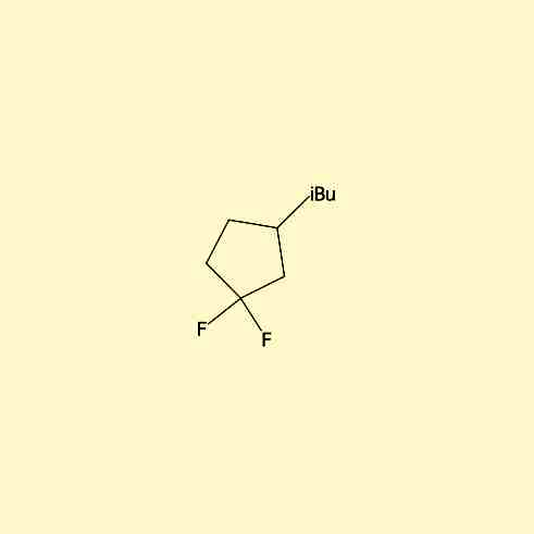 CCC(C)C1CCC(F)(F)C1